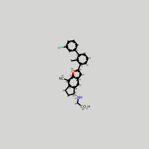 Cc1c(-c2cccc(F)c2)cccc1-c1cc2cc3c(c(C#N)c2o1)CC[C@H]3NCC(=O)O